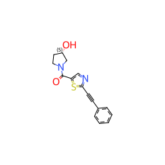 O=C(c1cnc(C#Cc2ccccc2)s1)N1CC[C@H](O)C1